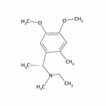 CCN(C)[C@H](C)c1cc(OC)c(OC)cc1C